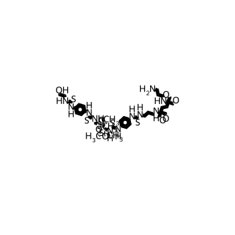 CO[Si](C)(CNC(=S)Nc1ccc(NC(=S)NCCO)cc1)O[Si](C)(CNC(=S)Nc1ccc(NC(=S)NCCCNC(C=O)(C=O)CCC(C=O)(C=O)NCCCN)cc1)OC